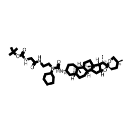 C[C@H]1CC[C@@]2(OC1)O[C@H]1C[C@H]3[C@@H]4CC[C@@H]5C[C@H](NC(=O)N(CCNC(=O)CNC(=O)OC(C)(C)C)C6CCCCC6)CC[C@]5(C)[C@H]4CC[C@]3(C)[C@H]1[C@@H]2C